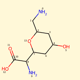 NCC1CC(O)CC(C(N)C(=O)O)O1